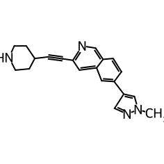 Cn1cc(-c2ccc3cnc(C#CC4CCNCC4)cc3c2)cn1